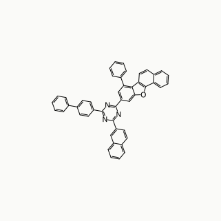 c1ccc(-c2ccc(-c3nc(-c4ccc5ccccc5c4)nc(-c4cc(-c5ccccc5)c5c(c4)oc4c6ccccc6ccc45)n3)cc2)cc1